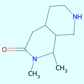 CC1C2CNCCC2CC(=O)N1C